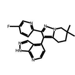 CC1(C)CCc2c(-c3ccnc4[nH]ncc34)c(-c3ccc(F)cn3)nn2C1